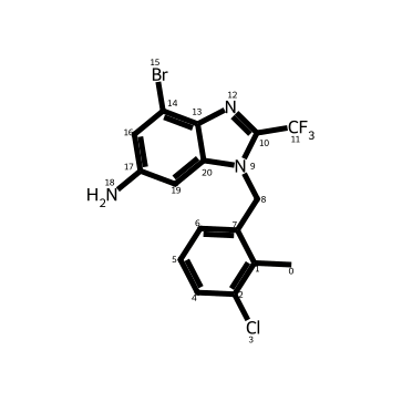 Cc1c(Cl)cccc1Cn1c(C(F)(F)F)nc2c(Br)cc(N)cc21